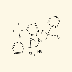 Br.CC(C)([CH2][Sn]([CH2]C(C)(C)c1ccccc1)[c]1cccc(C(F)(F)F)c1)c1ccccc1